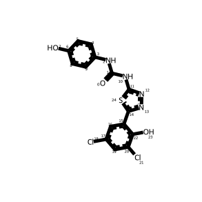 O=C(Nc1ccc(O)cc1)Nc1nnc(-c2cc(Cl)cc(Cl)c2O)s1